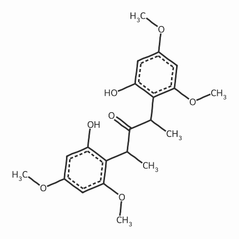 COc1cc(O)c(C(C)C(=O)C(C)c2c(O)cc(OC)cc2OC)c(OC)c1